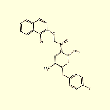 CC1CN(C(=O)COc2ccc3ccccc3c2Br)C(C)CN1Cc1ccc(F)cc1